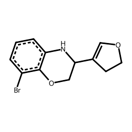 Brc1cccc2c1OCC(C1=COCC1)N2